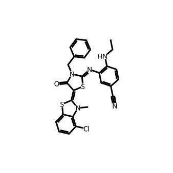 CCNc1ccc(C#N)cc1N=C1SC(=C2Sc3cccc(Cl)c3N2C)C(=O)N1Cc1ccccc1